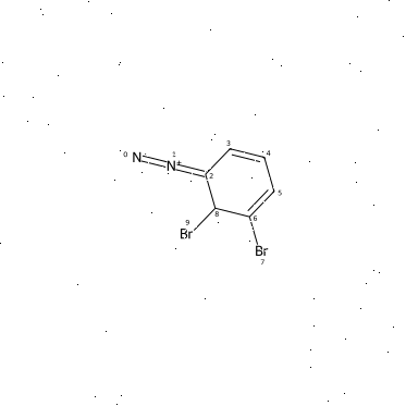 [N-]=[N+]=C1C=CC=C(Br)C1Br